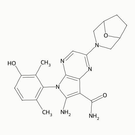 Cc1ccc(O)c(C)c1-n1c(N)c(C(N)=O)c2nc(N3CC4CCC(C3)O4)cnc21